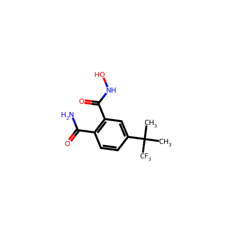 CC(C)(c1ccc(C(N)=O)c(C(=O)NO)c1)C(F)(F)F